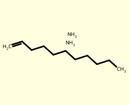 C=CCCCCCCCCC.N.N